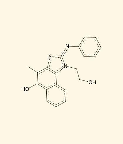 Cc1c(O)c2ccccc2c2c1sc(=Nc1ccccc1)n2CCO